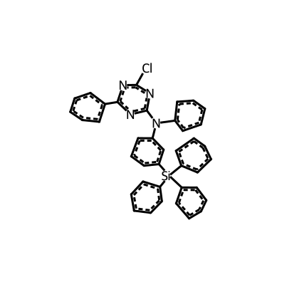 Clc1nc(-c2ccccc2)nc(N(c2ccccc2)c2cccc([Si](c3ccccc3)(c3ccccc3)c3ccccc3)c2)n1